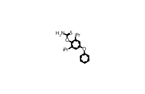 CC(C)c1cc(Oc2ccccc2)cc(C(C)C)c1OC(N)=S